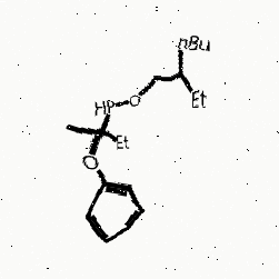 CCCCC(CC)COPC(C)(CC)Oc1ccccc1